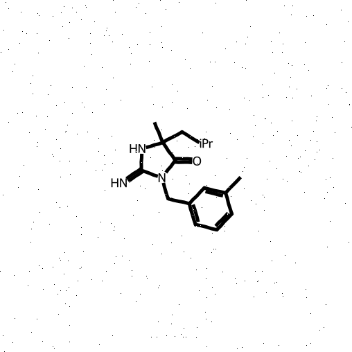 Cc1cccc(CN2C(=N)NC(C)(CC(C)C)C2=O)c1